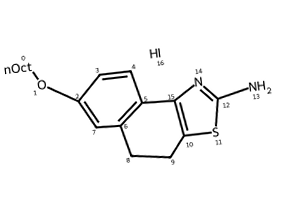 CCCCCCCCOc1ccc2c(c1)CCc1sc(N)nc1-2.I